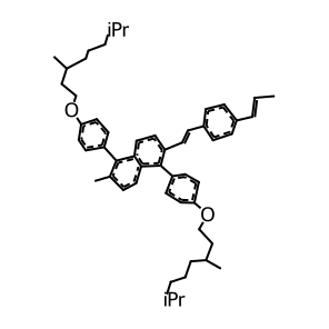 C/C=C/c1ccc(/C=C/c2ccc3c(-c4ccc(OCCC(C)CCCC(C)C)cc4)c(C)ccc3c2-c2ccc(OCCC(C)CCCC(C)C)cc2)cc1